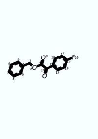 O=C(OCc1ccccc1)C(=O)c1ccc(F)cc1